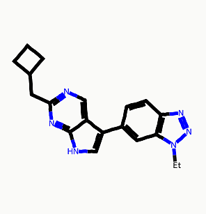 CCn1nnc2ccc(-c3c[nH]c4nc(CC5CCC5)ncc34)cc21